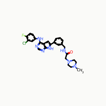 CN1CCN(CC(=O)NCc2cccc(-c3cc4c(Nc5ccc(F)c(Cl)c5)ncnc4[nH]3)c2)CC1